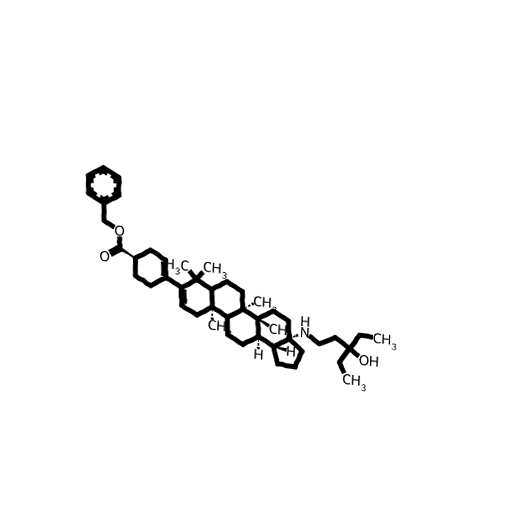 CCC(O)(CC)CCN[C@]12CCC[C@@H]1[C@H]1CCC3[C@@]4(C)CC=C(C5=CC[C@H](C(=O)OCc6ccccc6)CC5)C(C)(C)C4CC[C@@]3(C)[C@]1(C)CC2